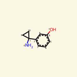 NC1(c2cccc(O)c2)CC1